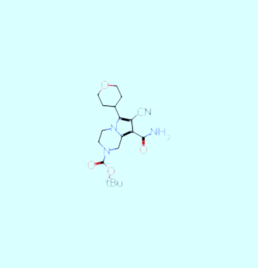 CC(C)(C)OC(=O)N1CCn2c(c(C(N)=O)c(C#N)c2C2CCOCC2)C1